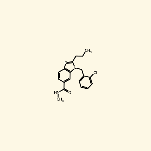 CCCc1nc2ccc(C(=O)NC)cc2n1Cc1ccccc1Cl